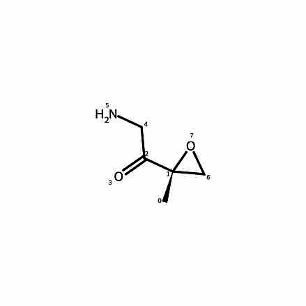 C[C@]1(C(=O)CN)CO1